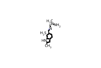 Cc1cc2ccc(/C=N/SN(C)N)cc2[nH]1.S